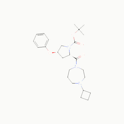 CC(C)(C)OC(=O)N1C[C@H](Oc2ccccc2)C[C@@H]1C(=O)N1CCCN(C2CCC2)CC1